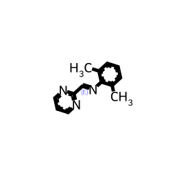 Cc1cccc(C)c1/N=C/c1ncccn1